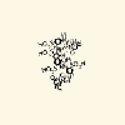 Cc1cc(=O)nc(NC(=O)Nc2ccc(S(=O)(=O)O)c(/N=N/c3c(S(=O)(=O)O)cc4cc(S(=O)(=O)O)c(/N=N/c5cc(NC(=O)Nc6nc(=O)cc(C)[nH]6)ccc5S(=O)(=O)O)c(O)c4c3N)c2)[nH]1